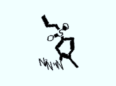 C=CCS(=O)(=O)c1ccc(C)c(N=[N+]=[N-])c1